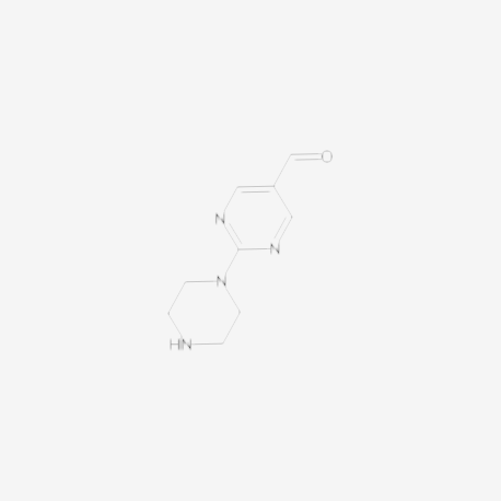 O=Cc1cnc(N2CCNCC2)nc1